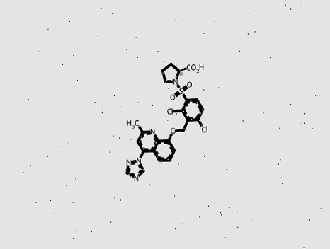 Cc1cc(-n2cncn2)c2cccc(OCc3c(Cl)ccc(S(=O)(=O)N4CCC[C@H]4C(=O)O)c3Cl)c2n1